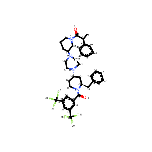 CC(C(=O)N1CCCC(N2CCN([C@H]3CCN(C(=O)c4cc(C(F)(F)F)cc(C(F)(F)F)c4)[C@H](Cc4ccccc4)C3)CC2)C1)c1ccccc1